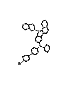 Brc1ccc(-c2ccc(N(c3ccccc3)c3ccc4c(c3)c3ccc5ccccc5c3n4-c3ccc4ccccc4c3)cc2)cc1